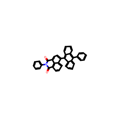 O=C1c2cccc3c(-c4c5ccccc5c(-c5ccccc5)c5ccccc45)ccc(c23)C(=O)N1c1ccccc1